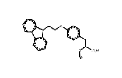 CCCOC(Cc1ccc(OCCC2c3ccccc3-c3ccccc32)cc1)C(=O)OCC